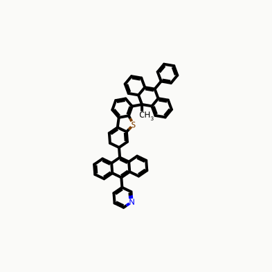 CC1(c2cccc3c4c(sc23)=CC(c2c3ccccc3c(-c3cccnc3)c3ccccc23)CC=4)c2ccccc2C(c2ccccc2)=C2C=CC=CC21